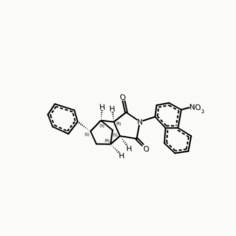 O=C1[C@@H]2[C@H]3C[C@H](C[C@@H]3c3ccccc3)[C@@H]2C(=O)N1c1ccc([N+](=O)[O-])c2ccccc12